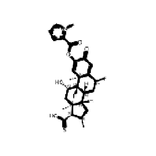 C[C@@H]1C[C@H]2[C@H]3C[C@H](F)C4=CC(=O)C(OC(=O)c5cccn5C)=C[C@]4(C)[C@@]3(F)[C@@H](O)C[C@]2(C)[C@@H]1C(O)=S